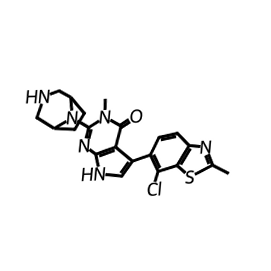 Cc1nc2ccc(-c3c[nH]c4nc(N5C6CCC5CNC6)n(C)c(=O)c34)c(Cl)c2s1